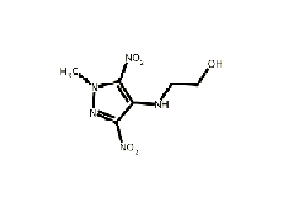 Cn1nc([N+](=O)[O-])c(NCCO)c1[N+](=O)[O-]